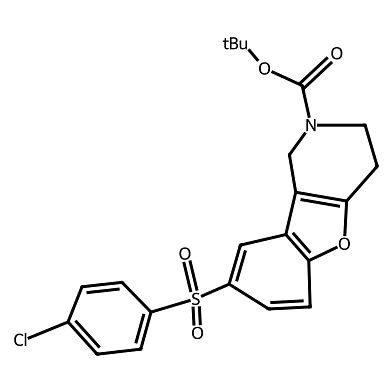 CC(C)(C)OC(=O)N1CCc2oc3ccc(S(=O)(=O)c4ccc(Cl)cc4)cc3c2C1